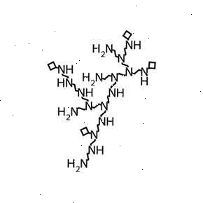 NCCNCCN(CCNCCN(CCNCCN(CCN)CCN(CCNC1CCC1)CCN(CCN)CCNC1CCC1)CCN(CCN)CCNCCNCCNC1CCC1)C1CCC1